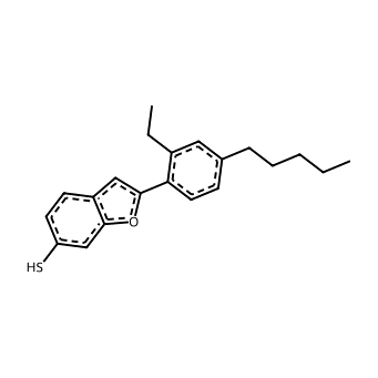 CCCCCc1ccc(-c2cc3ccc(S)cc3o2)c(CC)c1